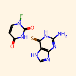 Nc1nc2nc[nH]c2c(=S)[nH]1.O=c1ccn(F)c(=O)[nH]1